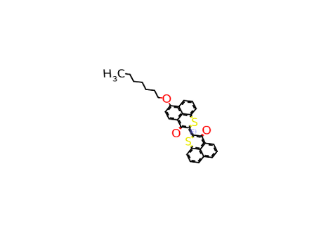 CCCCCCCOc1ccc2c(=O)/c(=c3\sc4cccc5cccc(c3=O)c54)sc3cccc1c32